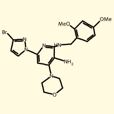 COc1ccc(CNc2nc(-n3ccc(Br)n3)cc(N3CCOCC3)c2N)c(OC)c1